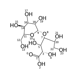 O=C(O)[C@@H](O)C(O)[C@H](O[C@@H]1OC(CO)[C@@H](O)C(O)C1O)C(O)CO